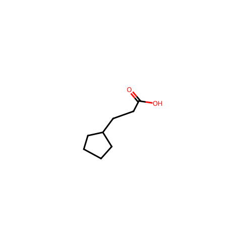 O=C(O)CC[C]1CCCC1